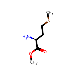 [CH2]OC(=O)[C@@H](N)CCSC